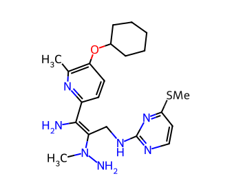 CSc1ccnc(NC/C(=C(/N)c2ccc(OC3CCCCC3)c(C)n2)N(C)N)n1